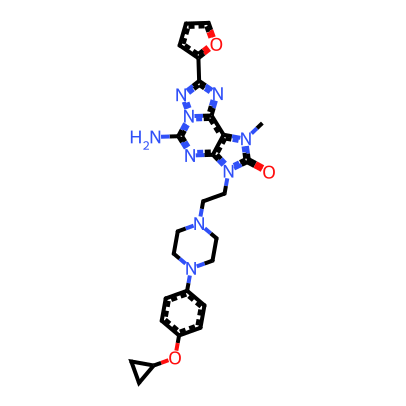 Cn1c(=O)n(CCN2CCN(c3ccc(OC4CC4)cc3)CC2)c2nc(N)n3nc(-c4ccco4)nc3c21